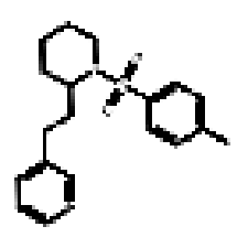 Cc1ccc(S(=O)(=O)N2CCCCC2CCc2cccnc2)cc1